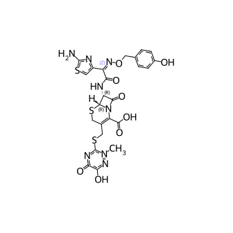 Cn1nc(O)c(=O)nc1SCC1=C(C(=O)O)N2C(=O)[C@@H](NC(=O)/C(=N\OCc3ccc(O)cc3)c3csc(N)n3)[C@H]2SC1